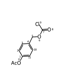 CC(=O)Oc1ccc(COC(=O)Cl)cc1